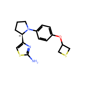 Nc1nc([C@H]2CCCN2c2ccc(OC3CSC3)cc2)cs1